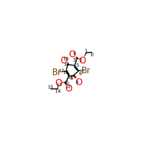 CCOC(=O)C1=C(Br)C(=O)C(C(=O)OCC)=C(Br)C1=O